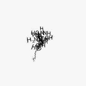 CCC(C)CC(C)CCCCCCCCC(=O)NCC(=O)NC(CC)C(=O)N1CCCC1C(=O)NC(C(=O)NC(CCCN)C(=O)N1CCCC1C(=O)NC(NCCNCCN)[C@@H](C)O)[C@H](O)Cc1ccc(O)cc1